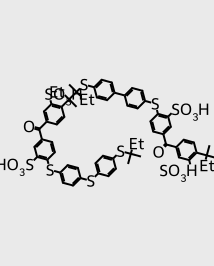 CCC(C)(C)Sc1ccc(Sc2ccc(Sc3ccc(C(=O)c4ccc(C(C)(CC)C(C)(CC)Sc5ccc(-c6ccc(Sc7ccc(C(=O)c8ccc(C(C)(C)CC)c(S(=O)(=O)O)c8)cc7S(=O)(=O)O)cc6)cc5)c(S(=O)(=O)O)c4)cc3S(=O)(=O)O)cc2)cc1